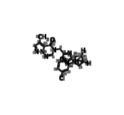 Cc1cnn2ncn(Cc3nc([C@@]45C6[C@H]4[C@H]5CN6c4cc(Cl)ccn4)no3)c(=O)c12